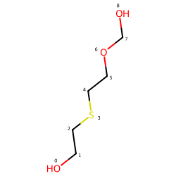 OCCSCCOCO